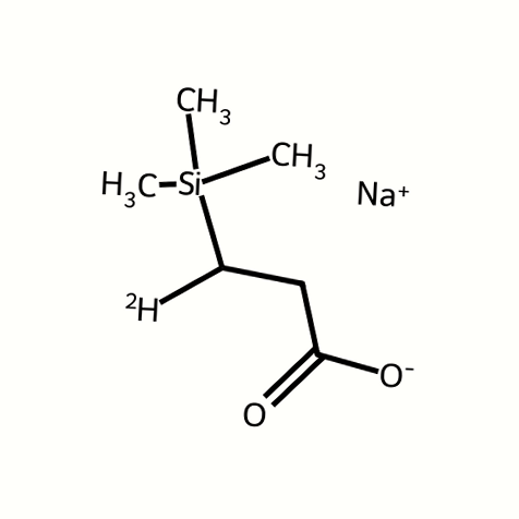 [2H]C(CC(=O)[O-])[Si](C)(C)C.[Na+]